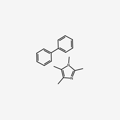 Cc1nc(C)n(C)c1C.c1ccc(-c2ccccc2)cc1